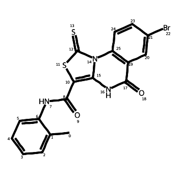 Cc1ccccc1NC(=O)c1sc(=S)n2c1[nH]c(=O)c1cc(Br)ccc12